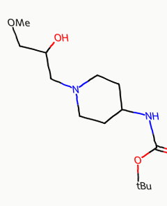 COCC(O)CN1CCC(NC(=O)OC(C)(C)C)CC1